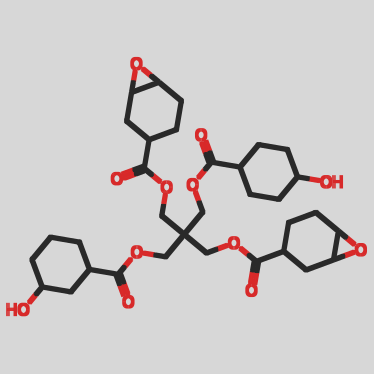 O=C(OCC(COC(=O)C1CCCC(O)C1)(COC(=O)C1CCC2OC2C1)COC(=O)C1CCC2OC2C1)C1CCC(O)CC1